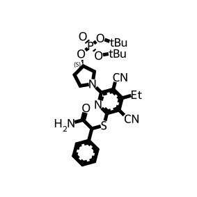 CCc1c(C#N)c(SC(C(N)=O)c2ccccc2)nc(N2CC[C@H](OP(=O)(OC(C)(C)C)OC(C)(C)C)C2)c1C#N